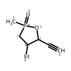 C#CC1OP(C)(=O)CC1CC